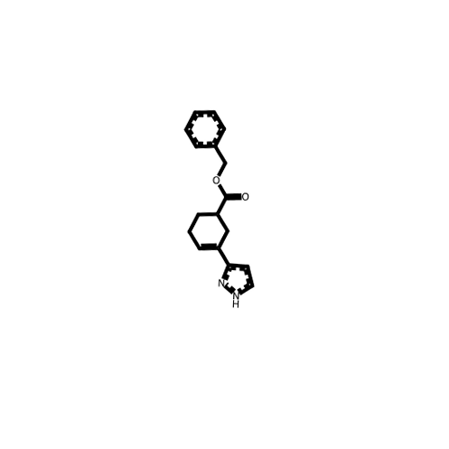 O=C(OCc1ccccc1)C1CCC=C(c2cc[nH]n2)C1